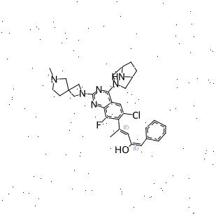 C/C(=C\C(O)=C/c1ccccc1)c1c(Cl)cc2c(N3CC4CCC(C3)N4)nc(N3CC4(CCN(C)C4)C3)nc2c1F